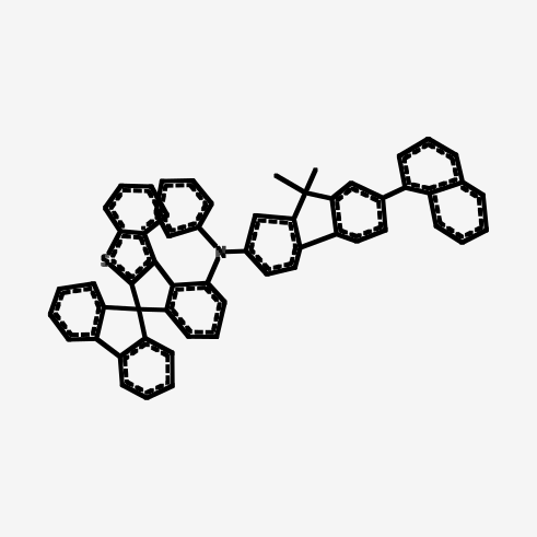 CC1(C)c2cc(-c3cccc4ccccc34)ccc2-c2ccc(N(c3ccccc3)c3cccc4c3-c3c(sc5ccccc35)C43c4ccccc4-c4ccccc43)cc21